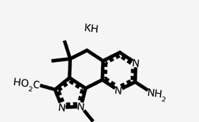 Cn1nc(C(=O)O)c2c1-c1nc(N)ncc1CC2(C)C.[KH]